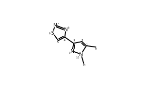 Cc1cc(-c2csnn2)nn1C